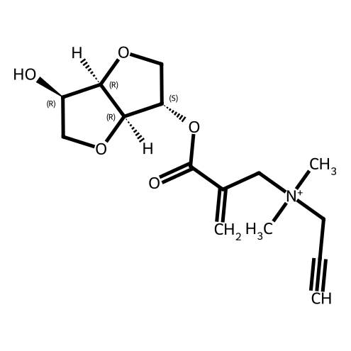 C#CC[N+](C)(C)CC(=C)C(=O)O[C@H]1CO[C@H]2[C@@H]1OC[C@H]2O